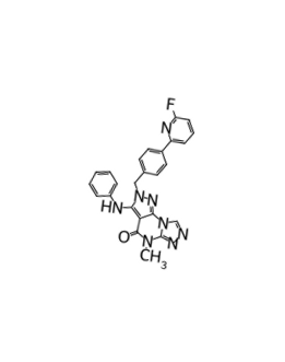 Cn1c(=O)c2c(Nc3ccccc3)n(Cc3ccc(-c4cccc(F)n4)cc3)nc2n2cnnc12